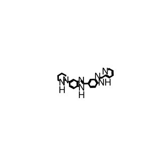 c1ccc(-c2nc3cc(-c4nc5cc(N6CCCCN6)ccc5[nH]4)ccc3[nH]2)nc1